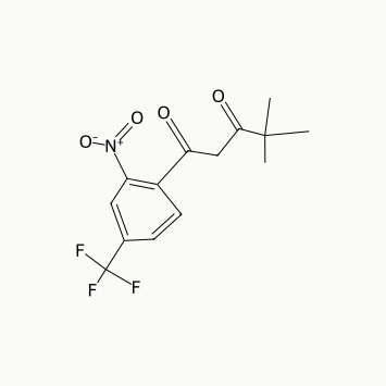 CC(C)(C)C(=O)CC(=O)c1ccc(C(F)(F)F)cc1[N+](=O)[O-]